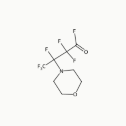 O=C(F)C(F)(F)C(F)(N1CCOCC1)C(F)(F)F